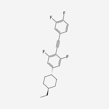 CC[C@H]1CC[C@H](c2cc(F)c(C#Cc3ccc(F)c(F)c3)c(F)c2)CC1